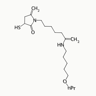 C=C(CCCCCN1C(=C)CC(S)C1=O)NCCCCCOCCC